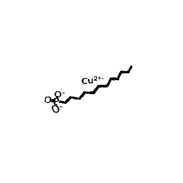 CCCCCCCCCCCCP(=O)([O-])[O-].[Cu+2]